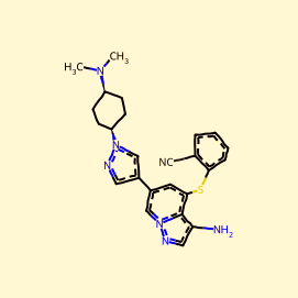 CN(C)[C@H]1CC[C@@H](n2cc(-c3cc(Sc4ccccc4C#N)c4c(N)cnn4c3)cn2)CC1